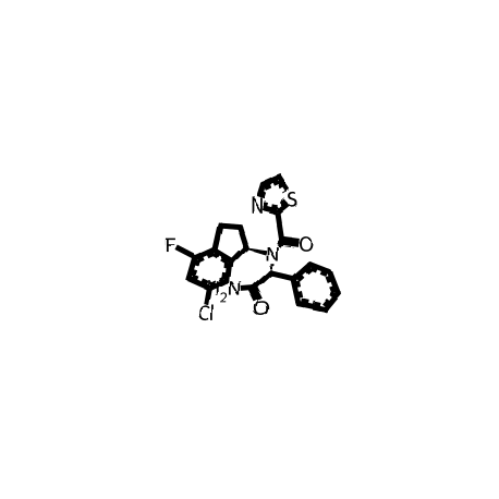 NC(=O)[C@@H](c1ccccc1)N(C(=O)c1nccs1)[C@@H]1CCc2c(F)cc(Cl)cc21